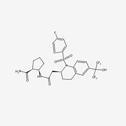 NC(=O)[C@H]1CCC[C@H]1NC(=O)C[C@@H]1CCc2cc(C(O)(C(F)(F)F)C(F)(F)F)ccc2N1S(=O)(=O)c1ccc(F)cc1